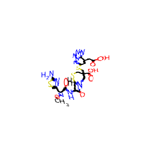 CON=C(C(=O)NC1C(=O)N2CC(CSc3cc(CC(=O)O)c4nnnn4n3)(C(=O)O)CS[C@H]12)c1csc(N)n1